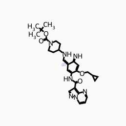 CC(C)(C)OC(=O)N1CCC(N/C=C2/C=C(NC(=O)c3cnn4cccnc34)C(OCC3CC3)=CC2=N)CC1